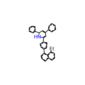 CCc1cccc2cccc(-c3ccc(C4=CC(c5ccccc5)=CC(c5ccccc5)N4)cc3)c12